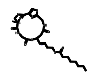 CCCCCCCC(=O)SCC/C=C/C1CC(=O)NCc2nc(cs2)C2=N[C@@](C)(CS2)C(=O)NCC(=O)O1